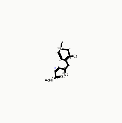 CCC1=C(CC(/C=C\C(=O)NC(C)=O)CC)C=CN(C)C1